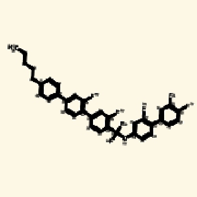 CCCCCc1ccc(-c2ccc(-c3ccc(C(F)(F)Oc4ccc(-c5ccc(F)c(F)c5)c(F)c4)c(F)c3)c(F)c2)cc1